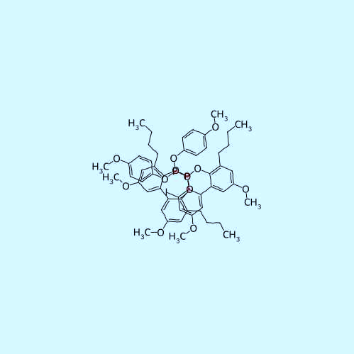 CCCCc1cc(OC)cc(-c2cc(OC)cc(I)c2OP(Oc2ccc(OC)cc2)Oc2ccc(OC)cc2)c1Op1oc2c(CCCC)cc(OC)cc2c2cc(OC)cc(CCCC)c2o1